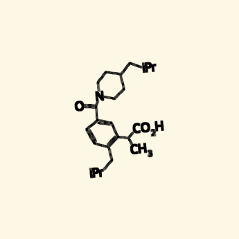 CC(C)Cc1ccc(C(=O)N2CCC(CC(C)C)CC2)cc1C(C)C(=O)O